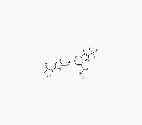 CNC(=O)c1cc(/C=C/c2nc(N3CCCC3=O)cn2C)nn2c(C)c(C(F)(F)F)nc12